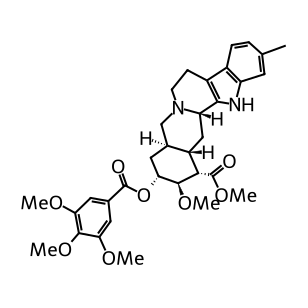 COC(=O)[C@H]1[C@H]2C[C@H]3c4[nH]c5cc(C)ccc5c4CCN3C[C@@H]2C[C@@H](OC(=O)c2cc(OC)c(OC)c(OC)c2)[C@@H]1OC